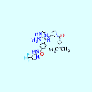 CC(C)C1CC(C(=O)N2CCCC(c3nc(-c4ccc(C(=O)Nc5cc(C(F)(F)F)ccn5)cc4)c4n3C=CNC4N)C2)C1